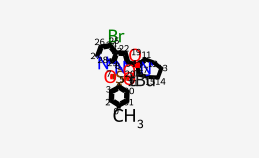 Cc1ccc(S(=O)(=O)n2c(C3=CC4CCC(C3)N4C(=O)OC(C)(C)C)cc3c(Br)ccnc32)cc1